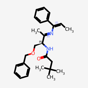 C/C=C(\N=C(/C)[C@H](COCc1ccccc1)NC(=O)CC(C)(C)C)c1ccccc1